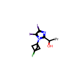 CC(C)C(O)c1nc(I)c(I)n1C12CC(F)(C1)C2